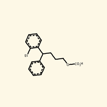 CCc1ccccc1C(CCCOC(=O)O)c1ccccc1